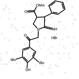 Br.COC(=O)C1CN(CC(=O)c2cc(C(C)(C)C)c(O)c(C(C)(C)C)c2)C(=N)C1c1ccccc1